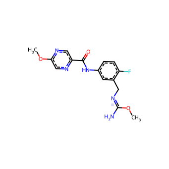 CO/C(N)=N\Cc1cc(NC(=O)c2cnc(OC)cn2)ccc1F